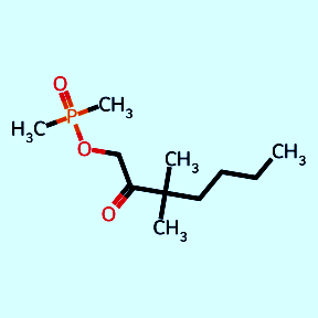 CCCCC(C)(C)C(=O)COP(C)(C)=O